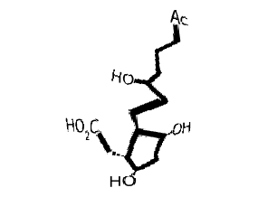 CC(=O)CCCC(O)C=C[C@@H]1[C@@H](CC(=O)O)[C@@H](O)C[C@H]1O